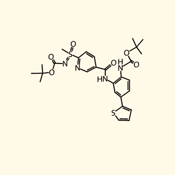 CC(C)(C)OC(=O)N=S(C)(=O)c1ccc(C(=O)Nc2cc(-c3cccs3)ccc2NC(=O)OC(C)(C)C)cn1